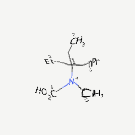 CCCC(C)(CC)N(C)C(=O)O